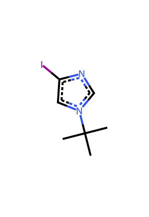 CC(C)(C)n1cnc(I)c1